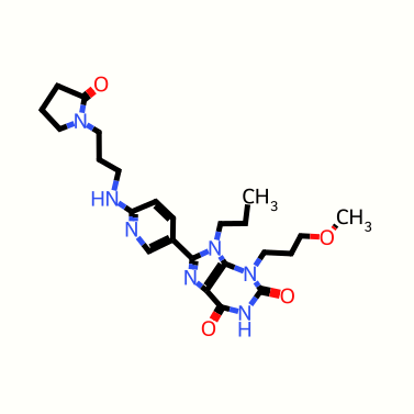 CCCn1c(-c2ccc(NCCCN3CCCC3=O)nc2)nc2c(=O)[nH]c(=O)n(CCCOC)c21